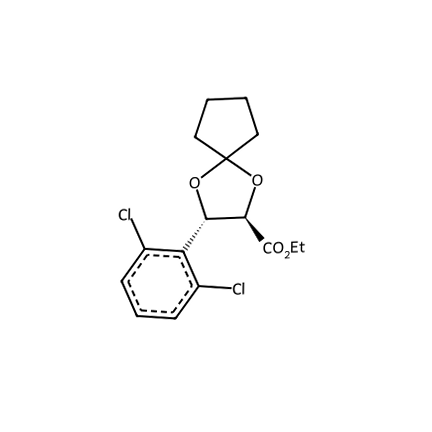 CCOC(=O)[C@@H]1OC2(CCCC2)O[C@H]1c1c(Cl)cccc1Cl